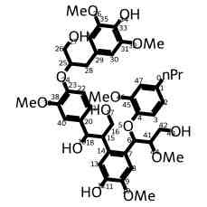 CCCc1ccc(OC(c2cc(OC)c(O)cc2C(CO)C(O)c2ccc(OC(CO)Cc3cc(OC)c(O)c(OC)c3)c(OC)c2)C(CO)OC)c(OC)c1